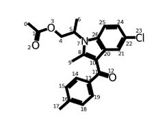 CC(=O)OCC(C)n1c(C)c(C(=O)c2ccc(C)cc2)c2cc(Cl)ccc21